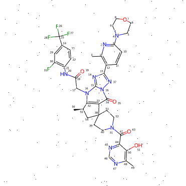 Cc1nc(N2CCOCC2)ccc1-c1nc2n(CC(=O)Nc3ccc(C(F)(F)F)cc3F)c3c(c(=O)n2n1)C1(CCN(C(=O)c2ncnc(C)c2O)CC1)C[C@H]3C